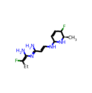 CC\C(F)=C(N)/N=C(N)/C=C/NC1C=CC(F)[C@@H](C)N1